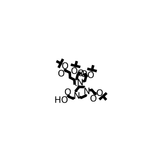 CC(C)(C)OC(=O)CCCC[C@@]1(N(CC(=O)OC(C)(C)C)CC(=O)OC(C)(C)C)CN(CC(=O)O)CCN(CC(=O)OC(C)(C)C)C1